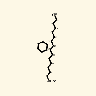 C1CCCCC1.CCCCCCCCCCCCCCCCCCCCCCCCCl